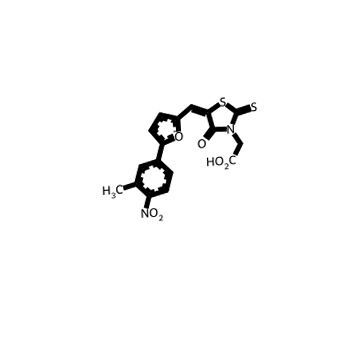 Cc1cc(-c2ccc(C=C3SC(=S)N(CC(=O)O)C3=O)o2)ccc1[N+](=O)[O-]